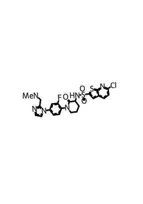 CNCc1nccn1-c1ccc(N2CCCC(NS(=O)(=O)c3cc4ccc(Cl)nc4s3)C2=O)c(F)c1